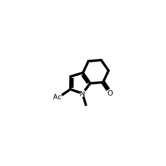 CC(=O)c1cc2c(n1C)C(=O)CCC2